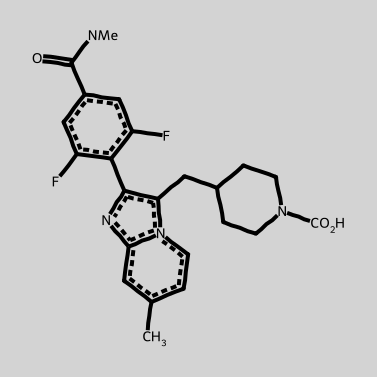 CNC(=O)c1cc(F)c(-c2nc3cc(C)ccn3c2CC2CCN(C(=O)O)CC2)c(F)c1